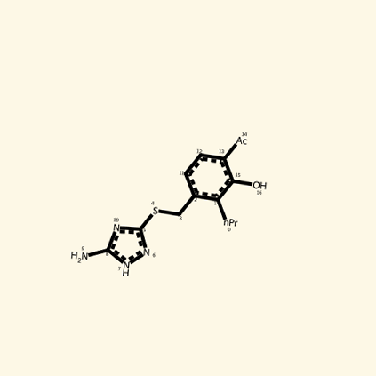 CCCc1c(CSc2n[nH]c(N)n2)ccc(C(C)=O)c1O